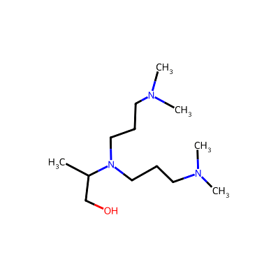 CC(CO)N(CCCN(C)C)CCCN(C)C